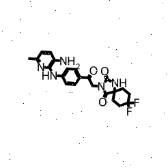 Cc1ccc(N)c(Nc2ccc(C(=O)CN3C(=O)NC4(CCC(F)(F)CC4)C3=O)cc2)n1